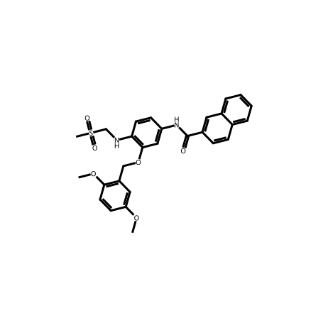 COc1ccc(OC)c(COc2cc(NC(=O)c3ccc4ccccc4c3)ccc2NCS(C)(=O)=O)c1